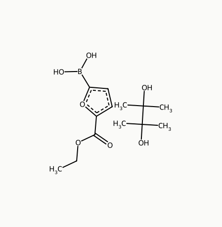 CC(C)(O)C(C)(C)O.CCOC(=O)c1ccc(B(O)O)o1